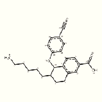 CCCCCCC1CCc2cc(C(=O)O)ccc2C1Sc1ccc(C#N)cc1